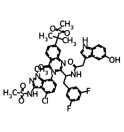 Cn1nc(NS(C)(=O)=O)c2c(Cl)ccc(-n3c(C(Cc4cc(F)cc(F)c4)NC(=O)Cc4c[nH]c5ccc(O)cc45)nc4cc(C(C)(C)S(C)(=O)=O)ccc4c3=O)c21